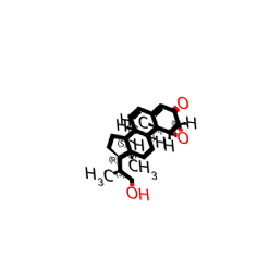 C[C@H](CO)[C@H]1CC[C@H]2[C@@H]3C=CC4=CC(=O)[C@@H]5O[C@@H]5[C@]4(C)[C@H]3CC[C@]12C